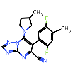 Cc1cc(F)c(-c2c(C#N)nc3ncnn3c2N2CCC(C)C2)cc1F